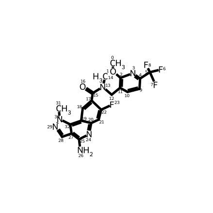 COc1nc(C(F)(F)F)ccc1CN(C)C(=O)c1cc2c(cc1F)nc(N)c1cnn(C)c12